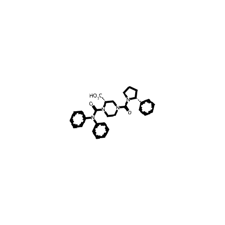 O=C(O)[C@@H]1CN(C(=O)N2CCC[C@@H]2c2ccccc2)CCN1C(=O)N(c1ccccc1)c1ccccc1